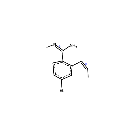 C/C=C\c1cc(CC)ccc1/C(N)=N\C